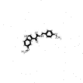 COc1ccc(CNC(=O)C(=O)c2c[nH]c3ccc(OC)cc23)cc1